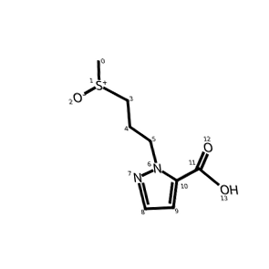 C[S+]([O-])CCCn1nccc1C(=O)O